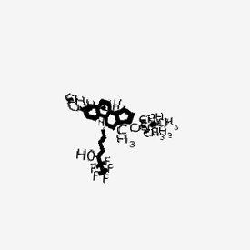 C=C[C@]12CCc3cc(OC)ccc3[C@H]1[C@@H](CCCC[C@@H](O)C(F)(F)C(F)(F)F)C[C@]1(C)[C@@H](O[Si](C)(C)C(C)(C)C)CC[C@H]12